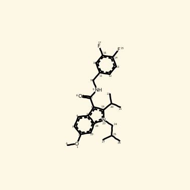 COc1ccc2c(C(=O)NCc3ccc(F)c(F)c3)c(C(C)C)n(CC(C)C)c2c1